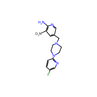 Nc1ncc(CN2CCN(c3ccc(F)cn3)CC2)cc1[N+](=O)[O-]